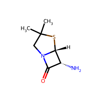 CC1(C)CN2C(=O)[C@@H](N)[C@H]2S1